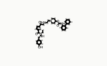 CCN(NCc1ccc(O)cc1)C(=O)c1ccc(C(=O)CNCCN2CCC(OC(=O)Nc3ccccc3-c3ccccc3)CC2)s1